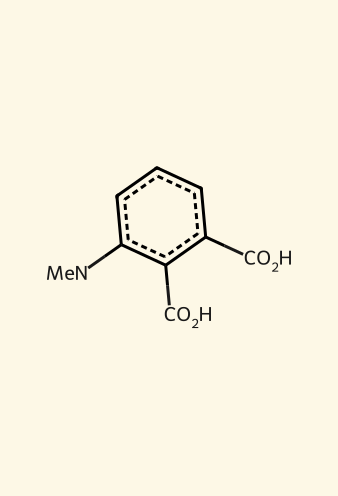 CNc1cccc(C(=O)O)c1C(=O)O